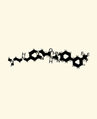 CN(C)CCNCc1ccn2cc(C(=O)Nc3nc4cc(-c5cccc(C(F)(F)F)c5)ccc4[nH]3)nc2c1